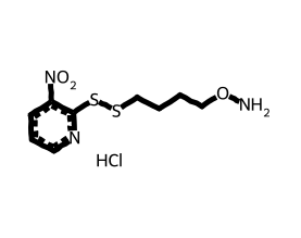 Cl.NOCCCCSSc1ncccc1[N+](=O)[O-]